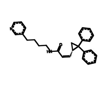 O=C(/C=C\[C@@H]1CC1(c1ccccc1)c1ccccc1)NCCCCc1cccnc1